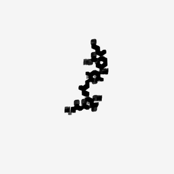 CC(C=C[C@H]1O[C@H](CC(N)=O)C[C@@]2(CO2)[C@@H]1O)=CC[C@@H]1O[C@H](C)[C@H](NC2CC[C@@H](C(C)C=CC=O)N(C(=O)O)C2)C[C@@H]1C